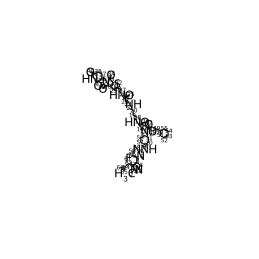 Cn1ncc(-c2nc(NC3CCC(N(CC(=O)NCCCCNCC(=O)NCc4cc5c(s4)C(=O)N(C4CCC(=O)NC4=O)C5=O)C(=O)OCc4ccccc4)CC3)ncc2F)c1CC1CC1